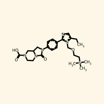 CCc1cnc(-c2ccc(N3CC4CN(C(=O)O)CCN4C3=O)cc2)n1COCC[Si](C)(C)C